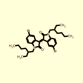 CCCCC(CC)CN1C(=O)/C(=C2/C(=O)N(CC(CC)CCCC)c3ccc(Br)cc32)c2cc(Br)ccc21